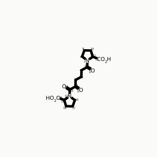 O=C(CCCC(=O)N1CCCC1C(=O)O)C(=O)N1CCCC1C(=O)O